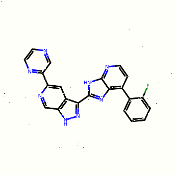 Fc1ccccc1-c1ccnc2[nH]c(-c3n[nH]c4cnc(-c5cnccn5)cc34)nc12